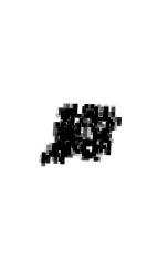 [2H][C@](Nc1cc(F)c2ncc(C#N)c(NCC(C)(C)C)c2c1)(c1ccc(F)nc1)c1cn(C2CC2)nn1